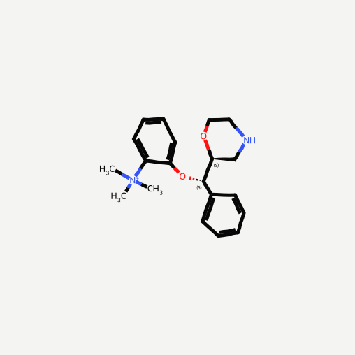 C[N+](C)(C)c1ccccc1O[C@@H](c1ccccc1)[C@@H]1CNCCO1